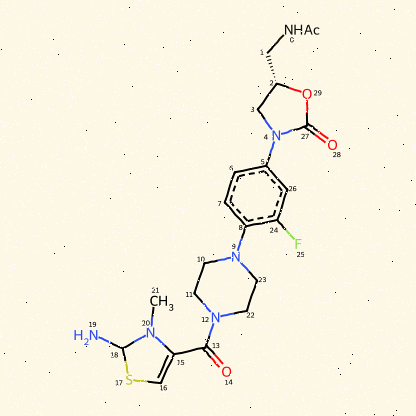 CC(=O)NC[C@H]1CN(c2ccc(N3CCN(C(=O)C4=CSC(N)N4C)CC3)c(F)c2)C(=O)O1